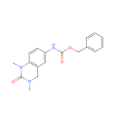 CN1Cc2cc(NC(=O)OCc3ccccc3)ccc2N(C)C1=O